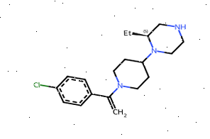 C=C(c1ccc(Cl)cc1)N1CCC(N2CCNC[C@@H]2CC)CC1